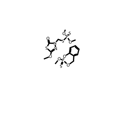 COP1(=S)OCc2ccccc2O1.COc1nn(CSP(=S)(OC)OC)c(=O)s1